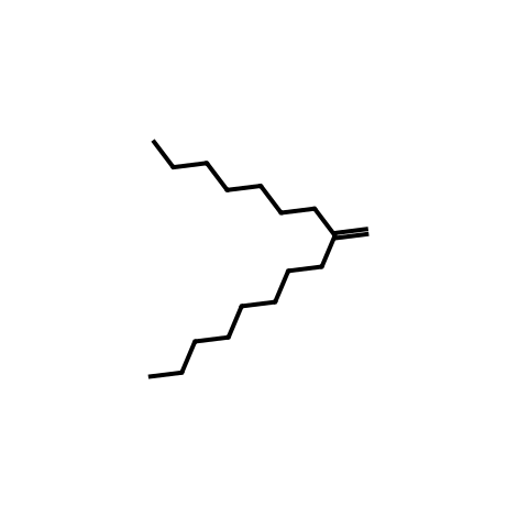 C=C(CCCCCCC)CCCCCCCC